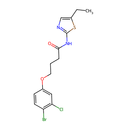 CCc1cnc(NC(=O)CCCOc2ccc(Br)c(Cl)c2)s1